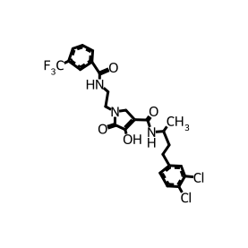 CC(CCc1ccc(Cl)c(Cl)c1)NC(=O)C1=C(O)C(=O)N(CCNC(=O)c2cccc(C(F)(F)F)c2)C1